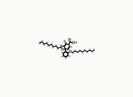 CCCCCCCCCCOc1ccccc1C1(OCCCCCCCCCC)C=CC(C(=O)O)C(F)=C1F